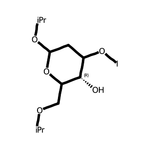 CC(C)OCC1OC(OC(C)C)CC(OI)[C@@H]1O